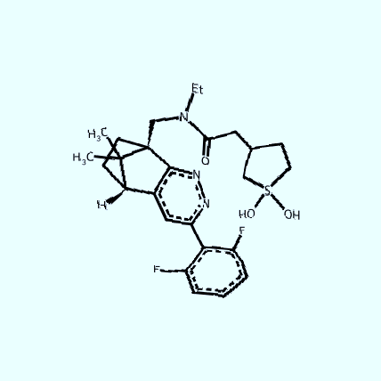 CCN(C[C@@]12CC[C@@H](c3cc(-c4c(F)cccc4F)nnc31)C2(C)C)C(=O)CC1CCS(O)(O)C1